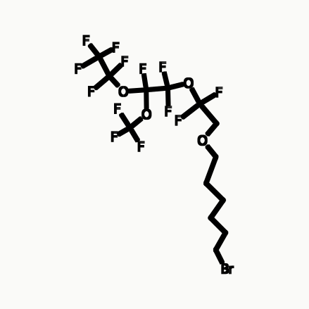 FC(F)(F)OC(F)(OC(F)(F)C(F)(F)F)C(F)(F)OC(F)(F)COCCCCCCBr